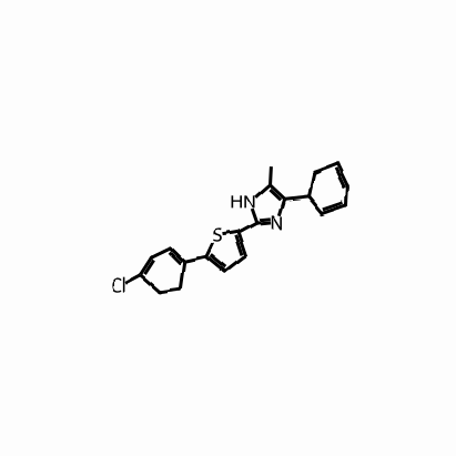 Cc1[nH]c(-c2ccc(C3=CC=C(Cl)CC3)s2)nc1C1C=CC=CC1